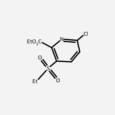 CCOC(=O)c1nc(Cl)ccc1S(=O)(=O)CC